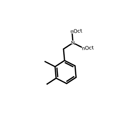 CCCCCCCCN(CCCCCCCC)Cc1cccc(C)c1C